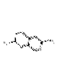 CC1CC=c2cc(N)ncc2=N1